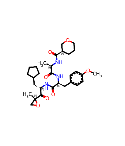 COc1ccc(C[C@H](NC(=O)[C@@H](C)NC(=O)[C@@H]2CCCOC2)C(=O)N[C@@H](CC2CCCC2)C(=O)[C@@]2(C)CO2)cc1